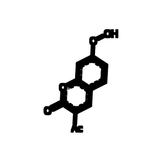 CC(=O)c1cc2ccc(OO)cc2oc1=O